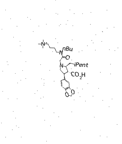 CCCCN(CCCC[N+](C)(C)C)C(=O)CN1C[C@H](c2ccc3c(c2)OCO3)[C@@H](C(=O)O)[C@@H]1CC(C)CCC